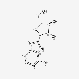 OC[C@H]1OC(c2nc3ncnc(O)c3[nH]2)[C@@H](O)[C@@H]1O